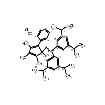 CC1=C(C)[C]([Ti+3])(C[SiH](c2cc(C(C)C)cc(C(C)C)c2)c2cc(C(C)C)cc(C(C)C)c2)C(c2ccccc2)=C1C.[Cl-].[Cl-].[Cl-]